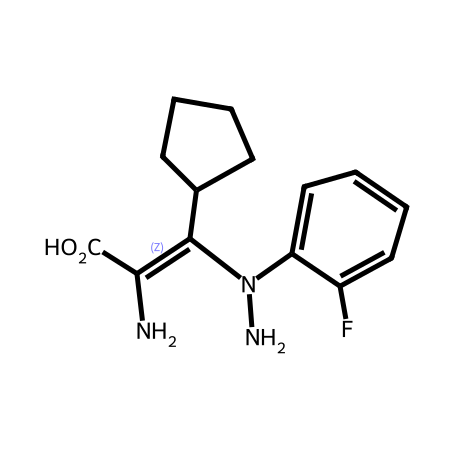 N/C(C(=O)O)=C(/C1CCCC1)N(N)c1ccccc1F